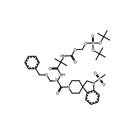 CC(C)(C)OP(=O)(OCOC(=O)NC(C)(C)C(=O)N[C@H](COCc1ccccc1)C(=O)N1CCC2(CC1)CN(S(C)(=O)=O)c1ccccc12)OC(C)(C)C